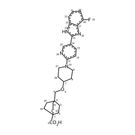 O=C(O)C12CCC(COC3CCN(c4ccc(-c5nc6c(F)cccc6[nH]5)cn4)CC3)(CC1)CC2